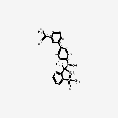 CC(C)(c1ncccc1S(C)(=O)=O)N(O)c1ncc(-c2cccc(C(N)=O)c2)cn1